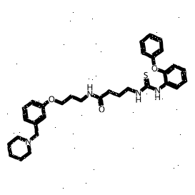 O=C(CCCNC(=S)Nc1ccccc1Oc1ccccc1)NCCCOc1cccc(CN2CCCCC2)c1